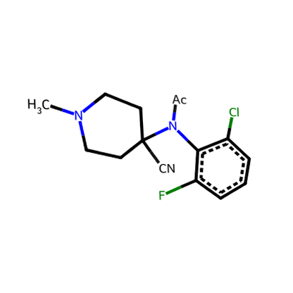 CC(=O)N(c1c(F)cccc1Cl)C1(C#N)CCN(C)CC1